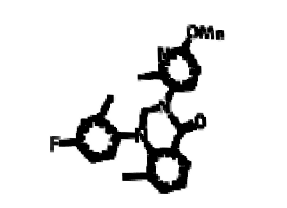 COc1ccc(N2CN(c3ccc(F)cc3C)c3c(C)cccc3C2=O)c(C)n1